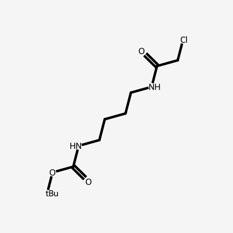 CC(C)(C)OC(=O)NCCCCNC(=O)CCl